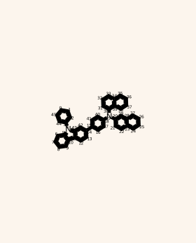 c1ccc(-n2c3ccccc3c3ccc(-c4ccc(N(c5ccc6ccccc6c5)c5cccc6ccccc56)cc4)cc32)cc1